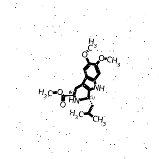 COC(=O)[C@H]1Cc2c([nH]c3cc(OC)c(OC)cc23)[C@H](CC(C)C)N1